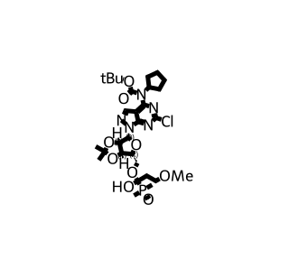 COCCC(O)(OC[C@H]1O[C@@H](n2ncc3c(N(C(=O)OC(C)(C)C)C4CCCC4)nc(Cl)nc32)[C@@H]2OC(C)(C)O[C@@H]21)P(C)(C)=O